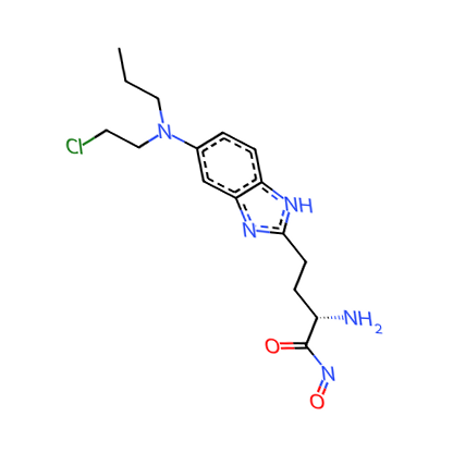 CCCN(CCCl)c1ccc2[nH]c(CC[C@H](N)C(=O)N=O)nc2c1